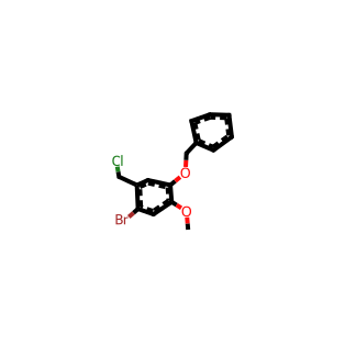 COc1cc(Br)c(CCl)cc1OCc1ccccc1